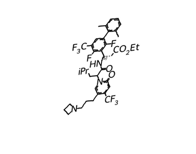 CCOC(=O)C[C@H](NC(=O)C(CC(C)C)n1cc(CCCN2CCC2)c(C(F)(F)F)cc1=O)c1c(F)c(-c2c(C)cccc2C)cc(C(F)(F)F)c1F